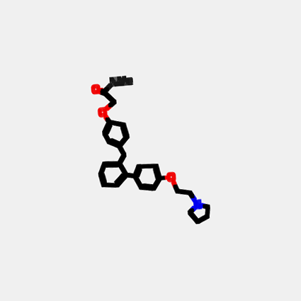 CNC(=O)COc1ccc(Cc2ccccc2-c2ccc(OCCN3CCCC3)cc2)cc1